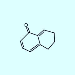 O=C1C=CC=C2CCCC=C12